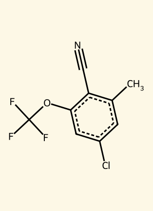 Cc1cc(Cl)cc(OC(F)(F)F)c1C#N